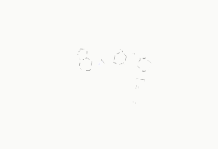 O=S(=O)(c1cccc(Nc2ncc(/C=C/c3cccc4[nH]ccc34)cn2)c1)N1CCNCC1